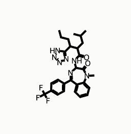 CCCC(c1nnn[nH]1)C(CC(C)C)C(=O)NC1N=C(c2ccc(C(F)(F)F)cc2)c2ccccc2N(C)C1=O